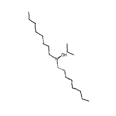 CCC.CCCCCCCCN(O)CCCCCCCC